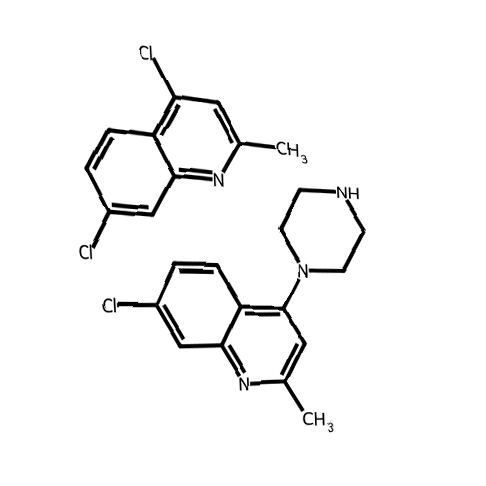 Cc1cc(Cl)c2ccc(Cl)cc2n1.Cc1cc(N2CCNCC2)c2ccc(Cl)cc2n1